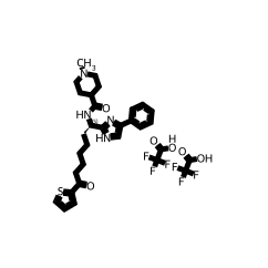 CN1CCC(C(=O)N[C@@H](CCCCCC(=O)c2cccs2)c2nc(-c3ccccc3)c[nH]2)CC1.O=C(O)C(F)(F)F.O=C(O)C(F)(F)F